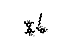 CCCCCCCC[S+]([O-])C(C)Cc1ccc2c(c1)OCO2.CCc1cc(-c2cc(CC)c(N)c(CC)c2)cc(CC)c1N